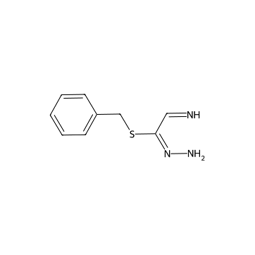 N=C/C(=N\N)SCc1ccccc1